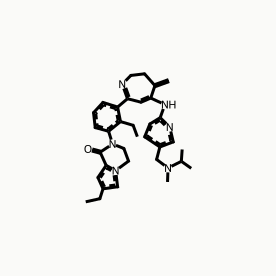 C=C1CCN=C(c2cccc(N3CCn4cc(CC)cc4C3=O)c2CC)C=C1Nc1ccc(CN(C)C(C)C)cn1